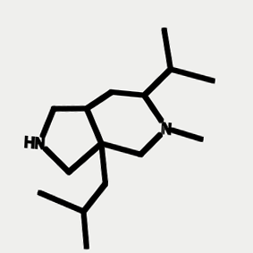 CC(C)CC12CNCC1CC(C(C)C)N(C)C2